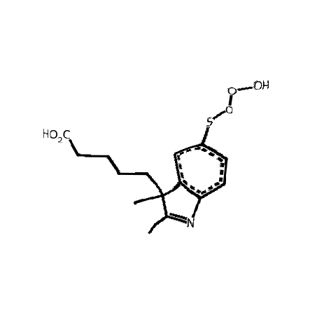 CC1=Nc2ccc(SOOO)cc2C1(C)CCCCC(=O)O